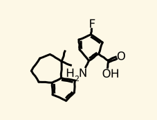 CC1(C)CCCCc2ccccc21.Nc1ccc(F)cc1C(=O)O